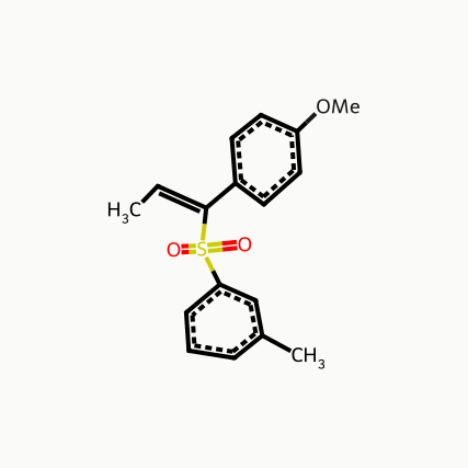 CC=C(c1ccc(OC)cc1)S(=O)(=O)c1cccc(C)c1